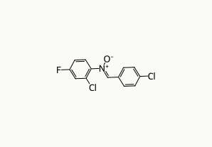 [O-][N+](=Cc1ccc(Cl)cc1)c1ccc(F)cc1Cl